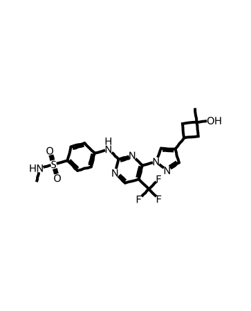 CNS(=O)(=O)c1ccc(Nc2ncc(C(F)(F)F)c(-n3cc(C4CC(C)(O)C4)cn3)n2)cc1